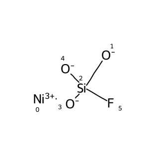 [Ni+3].[O-][Si]([O-])([O-])F